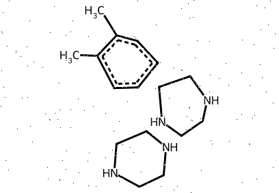 C1CNCCN1.C1CNCCN1.Cc1ccccc1C